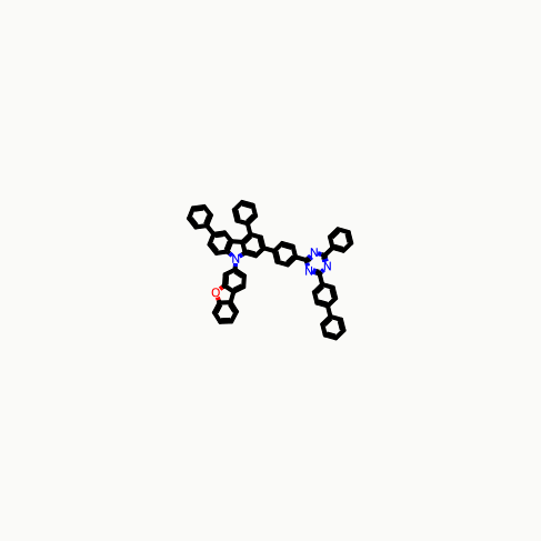 c1ccc(-c2ccc(-c3nc(-c4ccccc4)nc(-c4ccc(-c5cc(-c6ccccc6)c6c7cc(-c8ccccc8)ccc7n(-c7ccc8c(c7)oc7ccccc78)c6c5)cc4)n3)cc2)cc1